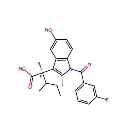 CCC(C)[C@@](C)(C(=O)O)c1c(C)n(C(=O)c2cccc(F)c2)c2ccc(O)cc12